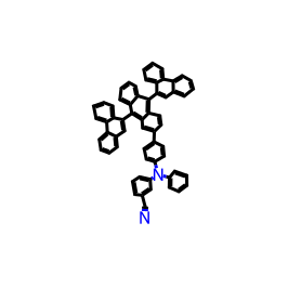 N#Cc1cccc(N(c2ccccc2)c2ccc(-c3ccc4c(-c5cc6ccccc6c6ccccc56)c5ccccc5c(-c5cc6ccccc6c6ccccc56)c4c3)cc2)c1